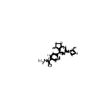 C[C@H]1CCN1c1nc2c(c(-c3ccc(C(N)=O)cn3)n1)CCC2